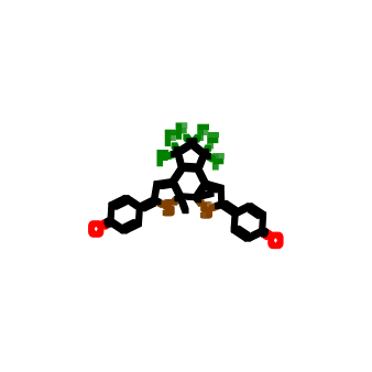 CC12SC(=C3C=CC(=O)C=C3)C=C1C1=C(C3=CC(=C4C=CC(=O)C=C4)SC32C)C(F)(F)C(F)(F)C1(F)F